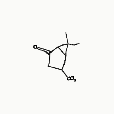 CC1(C)C2C(=O)CC(C(Cl)(Cl)Cl)C21